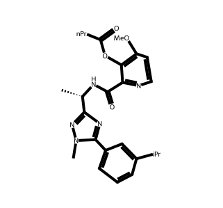 CCCC(=O)Oc1c(OC)ccnc1C(=O)N[C@@H](C)c1nc(-c2cccc(C(C)C)c2)n(C)n1